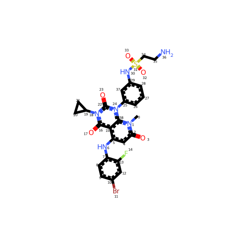 Cn1c(=O)cc(Nc2ccc(Br)cc2F)c2c(=O)n(C3CC3)c(=O)n(-c3cccc(NS(=O)(=O)CCN)c3)c21